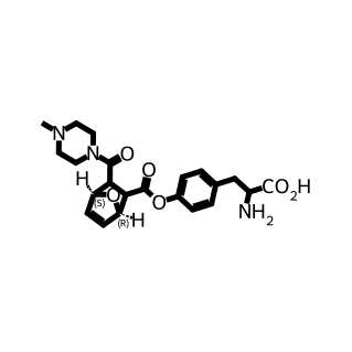 CN1CCN(C(=O)C2C(C(=O)Oc3ccc(CC(N)C(=O)O)cc3)[C@H]3C=C[C@@H]2O3)CC1